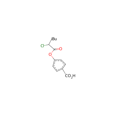 CCC(C)C(Cl)C(=O)Oc1ccc(C(=O)O)cc1